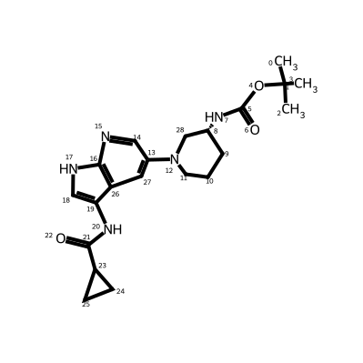 CC(C)(C)OC(=O)N[C@@H]1CCCN(c2cnc3[nH]cc(NC(=O)C4CC4)c3c2)C1